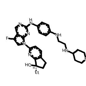 CC[C@@]1(O)CCc2ccc(-n3cc(F)c4cnc(Nc5ccc(NCCNC6CCNCC6)cc5)nc43)nc21